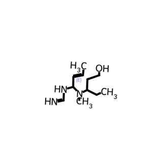 C/C=C/C(NC=N)N(C)C(CC)CCO